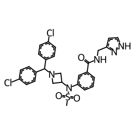 CS(=O)(=O)N(c1cccc(C(=O)NCc2cc[nH]n2)c1)C1CN(C(c2ccc(Cl)cc2)c2ccc(Cl)cc2)C1